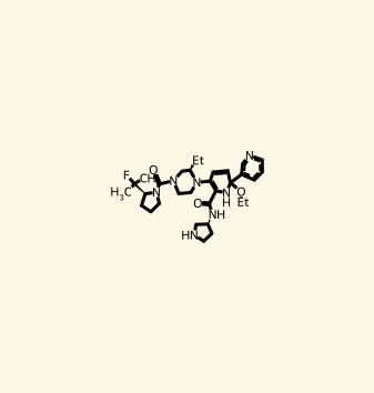 CCOC1(c2cccnc2)C=CC(N2CCN(C(=O)N3CCC[C@H]3C(C)(C)F)C[C@H]2CC)=C(C(=O)N[C@@H]2CCNC2)N1